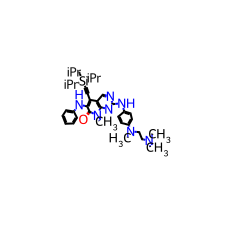 CC(C)[Si](C#Cc1c(Nc2ccccc2)c(=O)n(C)c2nc(Nc3ccc(N(C)CCN(C)C)cc3)ncc12)(C(C)C)C(C)C